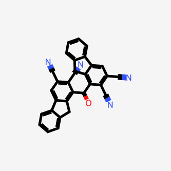 N#Cc1cc2c(c(C(=O)c3c(C#N)c(C#N)cc4c3Cc3ccccc3-4)c1C#N)Cc1ccccc1-2